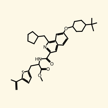 C=C(C)c1ccc(CC(NC(=O)c2cc3ccc(OC4CCC(C(C)(C)C)CC4)cc3c(CC3CCCC3)n2)C(=O)OC)s1